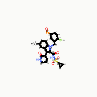 CC(C)(C)c1ccc2c(c1)c(-c1ccc[nH]c1=O)c(C(=O)NS(=O)(=O)C1CC1)n2Cc1cc(P=O)ccc1F